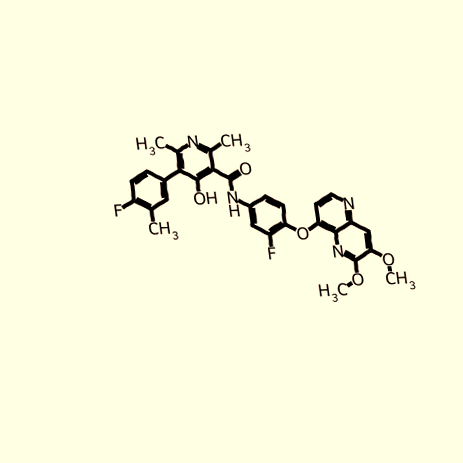 COc1cc2nccc(Oc3ccc(NC(=O)c4c(C)nc(C)c(-c5ccc(F)c(C)c5)c4O)cc3F)c2nc1OC